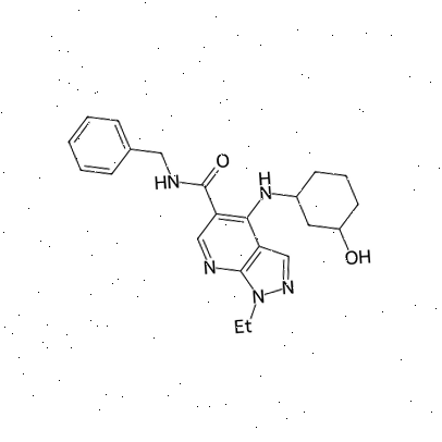 CCn1ncc2c(NC3CCCC(O)C3)c(C(=O)NCc3ccccc3)cnc21